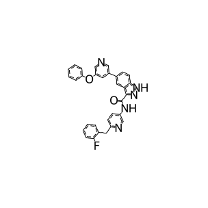 O=C(Nc1ccc(Cc2ccccc2F)nc1)c1n[nH]c2ccc(-c3cncc(Oc4ccccc4)c3)cc12